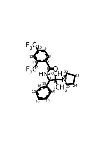 CC(C)(C(NC(=O)c1ccc(C(F)(F)F)cc1C(F)(F)F)c1ccccc1)N1CCCC1